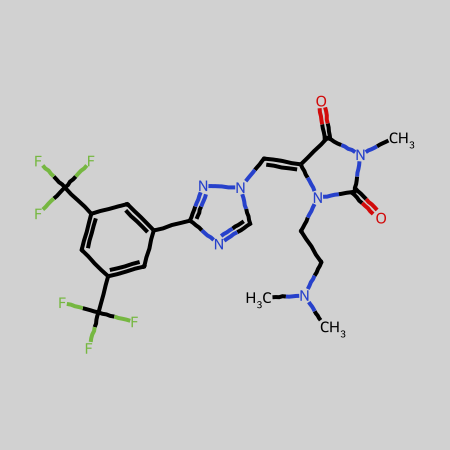 CN(C)CCN1C(=O)N(C)C(=O)C1=Cn1cnc(-c2cc(C(F)(F)F)cc(C(F)(F)F)c2)n1